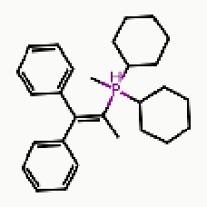 CC(=C(c1ccccc1)c1ccccc1)[PH](C)(C1CCCCC1)C1CCCCC1